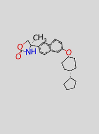 C[C@@]1(c2ccc3cc(O[C@H]4CC[C@@H](C5CCCC5)CC4)ccc3c2)COC(=O)N1